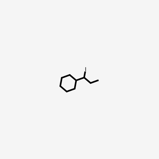 CCC(I)C1CCCCC1